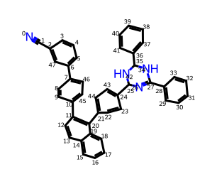 N#Cc1cccc(-c2ccc(-c3ccc4ccccc4c3-c3ccc(C4N=C(c5ccccc5)NC(c5ccccc5)N4)cc3)cc2)c1